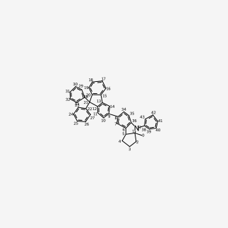 CC12CCCC1c1cc(-c3ccc4c(c3)-c3ccccc3C4(c3ccccc3)c3ccccc3)ccc1N2c1ccccc1